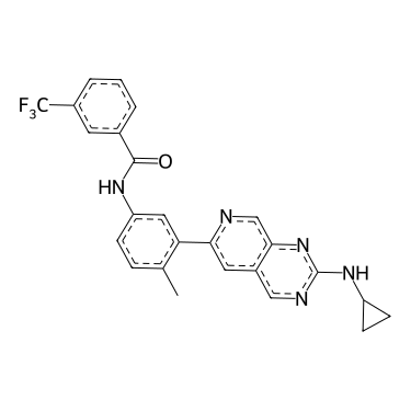 Cc1ccc(NC(=O)c2cccc(C(F)(F)F)c2)cc1-c1cc2cnc(NC3CC3)nc2cn1